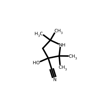 CC1(C)CC(O)(C#N)C(C)(C)N1